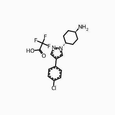 N[C@H]1CC[C@H](n2cc(-c3ccc(Cl)cc3)cn2)CC1.O=C(O)C(F)(F)F